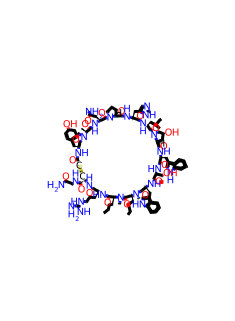 CCCC[C@H]1C(=O)N(C)[C@@H](CCCC)C(=O)N[C@@H](CCCNC(=N)N)C(=O)N[C@H](C(=O)NCC(N)=O)CSCC(=O)N[C@@H](CC2=CCC(O)C=C2)C(=O)N(C)[C@@H](C)C(=O)N[C@@H](CC(N)=O)C(=O)N2CCC[C@H]2C(=O)N[C@@H](Cc2cnc[nH]2)C(=O)N[C@@H](CC(C)C)C(=O)N2C[C@H](O)C[C@H]2C(=O)N[C@@H](Cc2c[nH]c3ccccc23)C(=O)N[C@@H]([C@@H](C)O)C(=O)N[C@@H](Cc2c[nH]c3ccccc23)C(=O)N1C